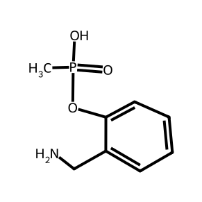 CP(=O)(O)Oc1ccccc1CN